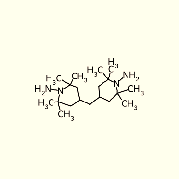 CC1(C)CC(CC2CC(C)(C)N(N)C(C)(C)C2)CC(C)(C)N1N